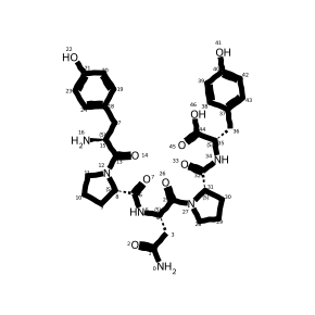 NC(=O)C[C@H](NC(=O)[C@@H]1CCCN1C(=O)[C@@H](N)Cc1ccc(O)cc1)C(=O)N1CCC[C@H]1C(=O)N[C@@H](Cc1ccc(O)cc1)C(=O)O